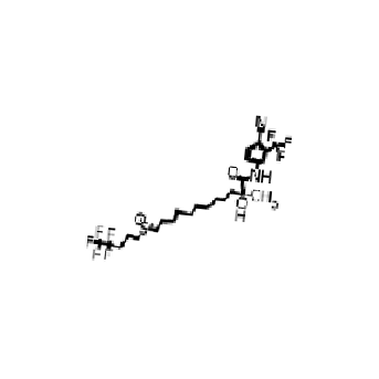 C[C@](O)(CCCCCCCCCC[S+]([O-])CCCC(F)(F)C(F)(F)F)C(=O)Nc1ccc(C#N)c(C(F)(F)F)c1